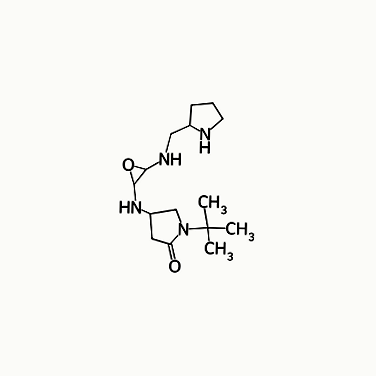 CC(C)(C)N1CC(NC2OC2NCC2CCCN2)CC1=O